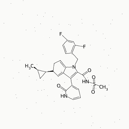 C[C@@H]1C[C@@H]1C1C=c2c(-c3ccc[nH]c3=O)c(C(=O)NS(C)(=O)=O)n(Cc3ccc(F)cc3F)c2=CC1